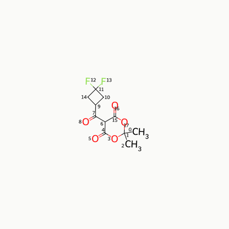 CC1(C)OC(=O)C(C(=O)C2CC(F)(F)C2)C(=O)O1